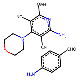 COc1nc(N)c(C#N)c(N2CCOCC2)c1C#N.Nc1ccc(C=O)cc1